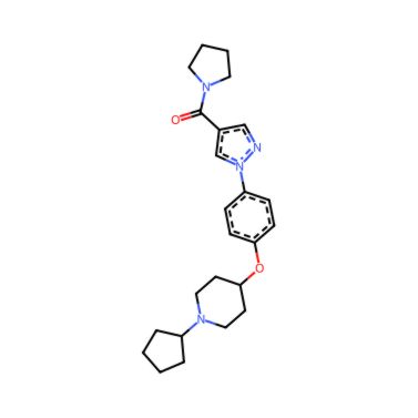 O=C(c1cnn(-c2ccc(OC3CCN(C4CCCC4)CC3)cc2)c1)N1CCCC1